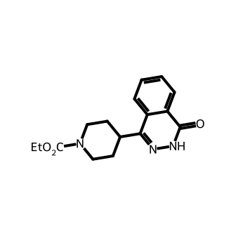 CCOC(=O)N1CCC(c2n[nH]c(=O)c3ccccc23)CC1